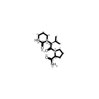 CC(C)[C@@H](C(=O)N1CCCC1C(N)=O)N1CCCNC1=O